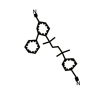 CC(C)(CCC(C)(C)c1ccc(C#N)cc1-c1ccccc1)c1ccc(C#N)cc1